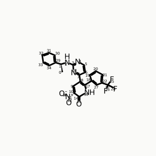 C[C@H](Nc1nccc(-c2cc([N+](=O)[O-])c(=O)[nH]c2-c2cccc(C(F)(F)F)c2)n1)c1ccccc1